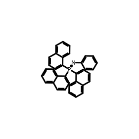 c1ccc(N=P(c2cccc3ccccc23)(c2cccc3ccccc23)c2cccc3ccccc23)cc1